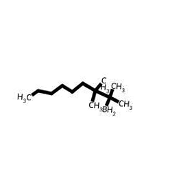 BC(C)(C)C(C)(C)CCCCCC